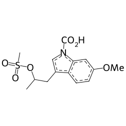 COc1ccc2c(CC(C)OS(C)(=O)=O)cn(C(=O)O)c2c1